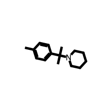 Cc1ccc(C(C)(C)N2CCCCC2)cc1